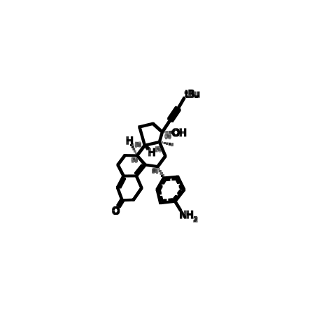 CC(C)(C)C#C[C@]1(O)CC[C@H]2[C@@H]3CCC4=CC(=O)CCC4=C3[C@@H](c3ccc(N)cc3)C[C@@]21C